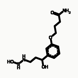 NC(=O)CCCOc1cccc(C(O)CCNBO)c1